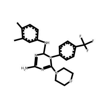 Cc1ccc(NC2N=C(N)N=C(N3CCOCC3)N2c2ccc(C(F)(F)F)cc2)cc1C